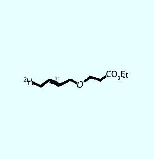 [2H]C/C=C/COCCC(=O)OCC